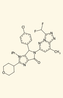 Cc1cc(N2C(=O)c3nc(C4CCOCC4)n(C(C)C)c3C2c2ccc(Cl)cc2)nn2c(C(F)F)nnc12